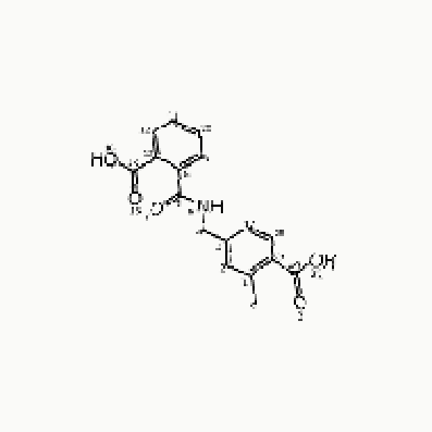 Cc1cc(CNC(=O)c2ccccc2C(=O)O)ccc1C(=O)O